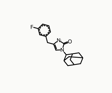 O=C1[N]C(Cc2cccc(F)c2)=CN1C1C2CC3CC(C2)CC1C3